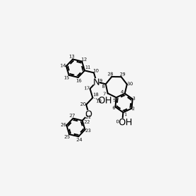 Oc1ccc2c(c1)CC(N(Cc1ccccc1)C[C@H](O)COc1ccccc1)CCC2